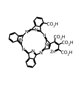 O=C(O)[C](=[Zn])/C(C(=O)O)=C(/C(=O)O)c1cc2nc3nc(nc4[nH]c(nc5nc(nc1[nH]2)-c1c(C(=O)O)cccc1-5)c1ccccc41)-c1ccccc1-3